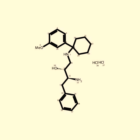 COc1cccc(C2(NC[C@@H](O)[C@@H](N)Cc3ccccc3)CCCCC2)c1.Cl.Cl